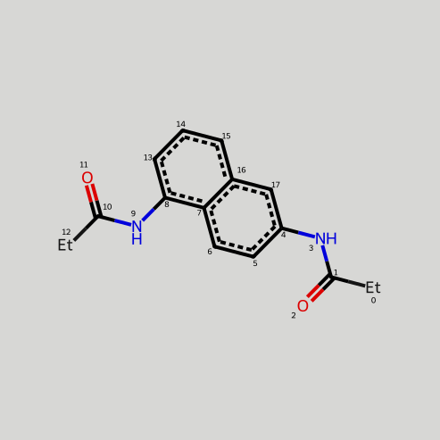 CCC(=O)Nc1ccc2c(NC(=O)CC)cccc2c1